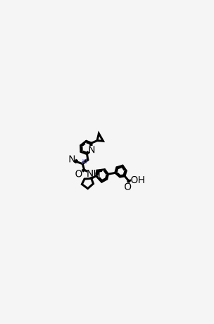 N#C/C(=C\c1cccc(C2CC2)n1)C(=O)NC1(c2ccc(-c3cccc(C(=O)O)c3)cc2)CCCC1